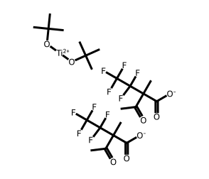 CC(=O)C(C)(C(=O)[O-])C(F)(F)C(F)(F)F.CC(=O)C(C)(C(=O)[O-])C(F)(F)C(F)(F)F.CC(C)(C)[O][Ti+2][O]C(C)(C)C